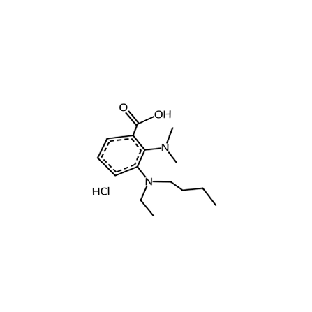 CCCCN(CC)c1cccc(C(=O)O)c1N(C)C.Cl